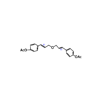 CC(=O)Oc1ccc(/C=C/COC/C=C/c2ccc(OC(C)=O)cc2)cc1